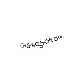 Oc1ccc(N=Nc2ccc(N=Nc3ccc(N=Nc4ccc(N5CCCCC5)s4)cc3Cl)cc2)cc1